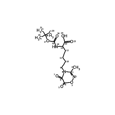 Cc1noc(=O)c(=O)n1CCCCC(NC(=O)OC(C)(C)C)C(=O)O